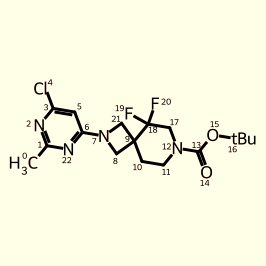 Cc1nc(Cl)cc(N2CC3(CCN(C(=O)OC(C)(C)C)CC3(F)F)C2)n1